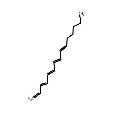 [CH2]CCCCC=CC=CC=CC=CC=C